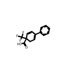 O=C(O)C1(C(F)(F)F)C=CC(c2ccccc2)=CC1